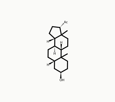 CC(=O)[C@H]1CC[C@H]2[C@@H]3CC[C@H]4C[C@H](O)CCC4(C)[C@H]3CCC12C